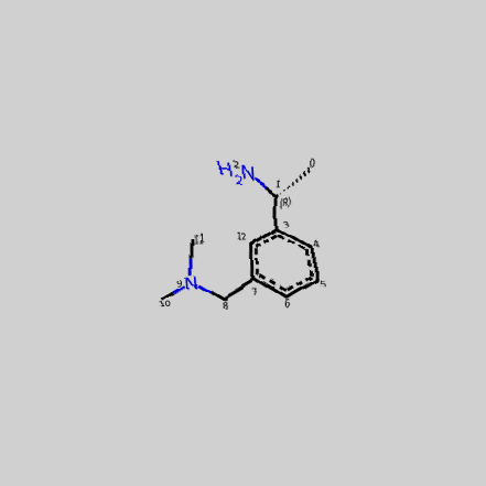 C[C@@H](N)c1cccc(CN(C)C)c1